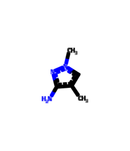 Cc1cn(C)nc1N